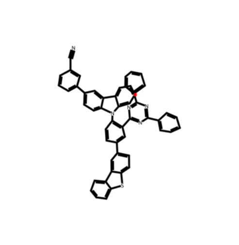 N#Cc1cccc(-c2ccc3c(c2)c2ccccc2n3-c2ccc(-c3ccc4sc5ccccc5c4c3)cc2-c2nc(-c3ccccc3)nc(-c3ccccc3)n2)c1